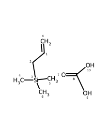 C=CC[Si](C)(C)C.O=C(O)O